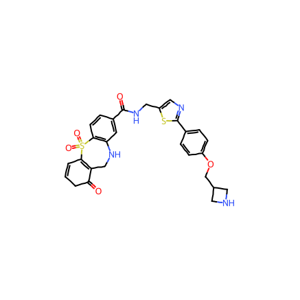 O=C1CC=CC2=C1CNc1cc(C(=O)NCc3cnc(-c4ccc(OCC5CNC5)cc4)s3)ccc1S2(=O)=O